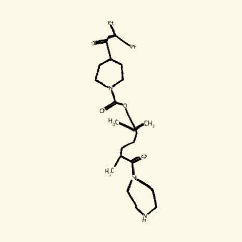 CCC(C(=O)C1CCN(C(=O)OC(C)(C)CCC(C)C(=O)N2CCNCC2)CC1)C(C)C